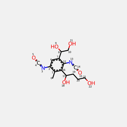 Cc1c(N=C=O)cc(C(O)CO)c(N=C=O)c1C(O)CCCO